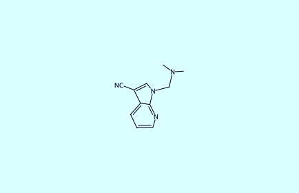 CN(C)Cn1cc(C#N)c2cccnc21